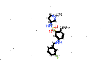 COc1ccc(NCc2cccc(F)c2)cc1S(=O)(=O)NC1CCN(C#N)C1